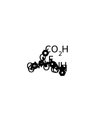 Cn1cc(C(=O)Nc2cc(F)c(CC(=O)N3C[C@@H](N4CCS(=O)(=O)CC4)C[C@H]3CO[C@H]3CC[C@H](C(=O)O)CC3)cc2Cl)c2ccccc21